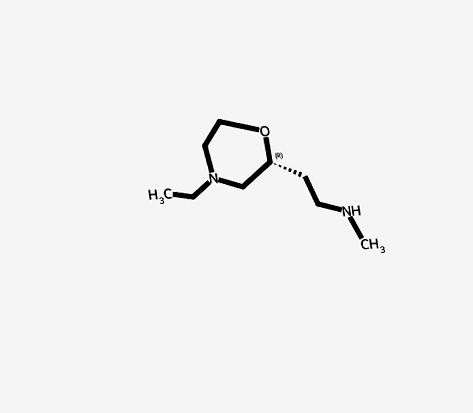 CCN1CCO[C@H](CCNC)C1